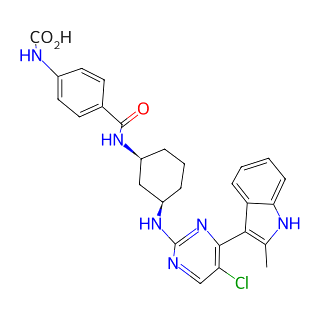 Cc1[nH]c2ccccc2c1-c1nc(N[C@@H]2CCC[C@H](NC(=O)c3ccc(NC(=O)O)cc3)C2)ncc1Cl